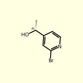 C[C@@H](O)c1ccnc(Br)c1